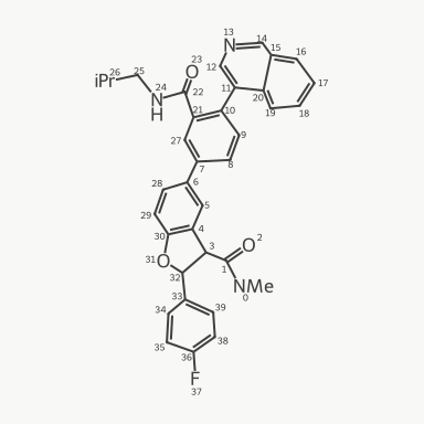 CNC(=O)C1c2cc(-c3ccc(-c4cncc5ccccc45)c(C(=O)NCC(C)C)c3)ccc2OC1c1ccc(F)cc1